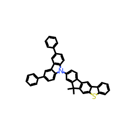 CC1(C)c2cc(-n3c4ccc(-c5ccccc5)cc4c4cc(-c5ccccc5)ccc43)ccc2-c2cc3c(cc21)sc1ccccc13